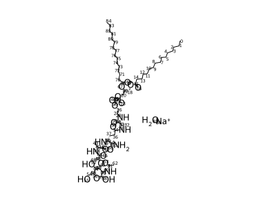 CCCCCCCCCCCCCCCC(=O)OC[C@H](COP(=O)([O-])OCCNC(=O)[C@H](C)NC(=O)CC[C@@H](NC(=O)[C@H](C)NC(=O)[C@@H](C)O[C@H]1[C@H](O)[C@@H](CO)OC(O)[C@@H]1NC(C)=O)C(N)=O)OC(=O)CCCCCCCCCCCCCCC.O.[Na+]